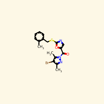 Cc1ccccc1CSc1ncc(C(=O)n2nc(C)c(Br)c2C)o1